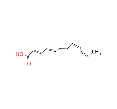 C/C=C\C=C/CC/C=C/C=C/C(=O)O